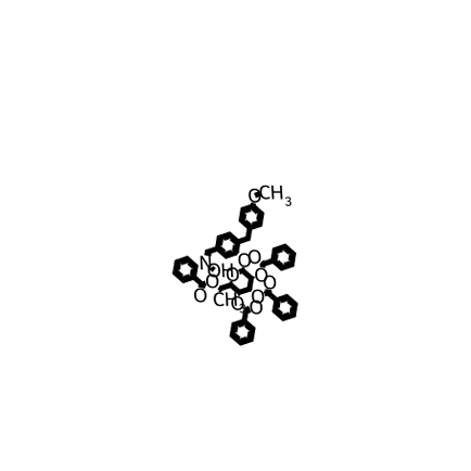 COc1ccc(Cc2ccc(/C=N\O)cc2O[C@@H]2O[C@H]([C@@H](C)OC(=O)c3ccccc3)[C@@H](OC(=O)c3ccccc3)[C@H](OC(=O)c3ccccc3)[C@H]2OC(=O)c2ccccc2)cc1